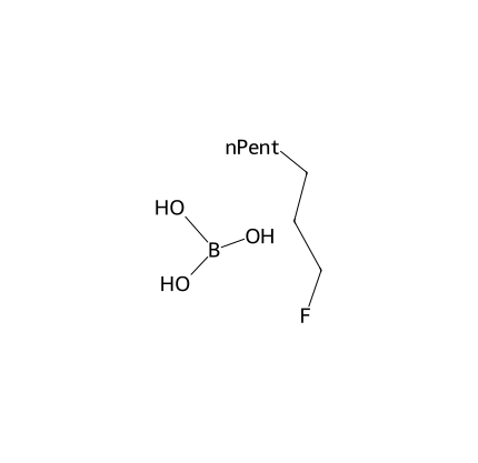 CCCCCCCCF.OB(O)O